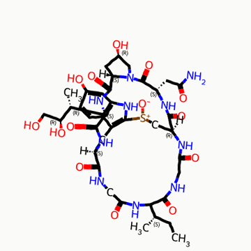 CC[C@H](C)C1NC(=O)CNC(=O)[C@@H]2Cc3c([nH]c4cc(O)ccc34)[S+]([O-])C[C@H](NC(=O)CNC1=O)C(=O)N[C@@H](CC(N)=O)C(=O)N1C[C@H](O)C[C@H]1C(=O)N[C@@H]([C@@H](C)[C@@H](O)CO)C(=O)N2